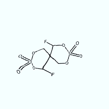 O=S1(=O)OCC2(COS(=O)(=O)OC2F)C(F)O1